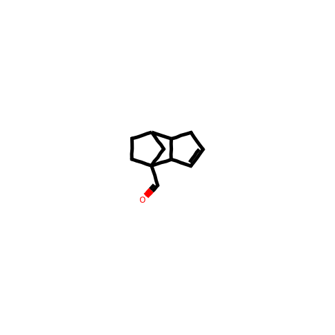 O=CC12CCC(C1)C1CC=CC12